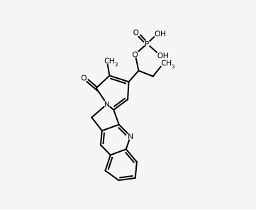 CCC(OP(=O)(O)O)c1cc2n(c(=O)c1C)Cc1cc3ccccc3nc1-2